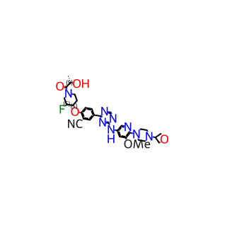 COc1cc(Nc2ncnc(-c3ccc(O[C@H]4CCN(C(=O)[C@H](C)O)C[C@@H]4F)c(C#N)c3)n2)cnc1N1CCN(C2COC2)CC1